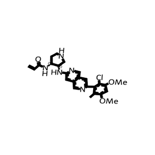 C=CC(=O)N[C@H]1CCNC[C@H]1Nc1cc2cnc(-c3c(C)c(OC)cc(OC)c3Cl)cc2cn1